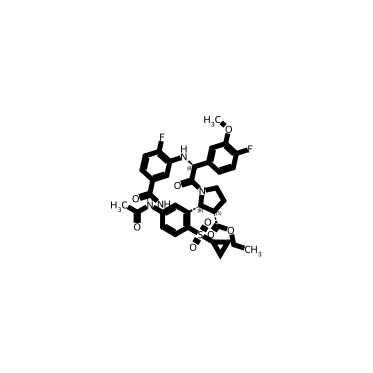 CCOC(=O)[C@H]1CCN(C(=O)[C@H](Nc2cc(C(N)=O)ccc2F)c2ccc(F)c(OC)c2)[C@H]1c1cc(NC(C)=O)ccc1S(=O)(=O)C1CC1